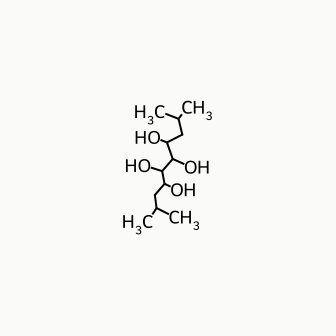 CC(C)CC(O)C(O)C(O)C(O)CC(C)C